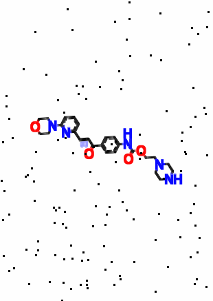 O=C(Nc1ccc(C(=O)/C=C/c2cccc(N3CCOCC3)n2)cc1)OCCN1CCNCC1